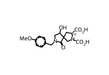 COc1ccc(CN2CC(O)C3(C[C@@H](C(=O)O)N(C(=O)O)C3)C2=O)cc1